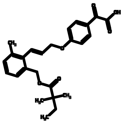 CCC(C)(C)C(=O)OCc1cccc(C)c1C=CCOc1ccc(C(=O)C(=O)O)cc1